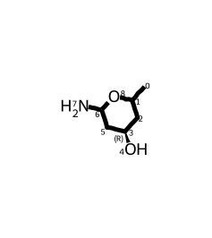 CC1C[C@@H](O)CC(N)O1